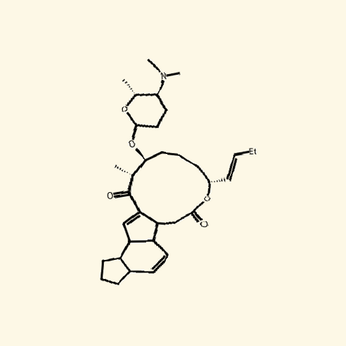 CC/C=C/[C@H]1CCC[C@H](OC2CC[C@H](N(C)C)[C@@H](C)O2)[C@@H](C)C(=O)C2=CC3C(C=CC4CCCC43)C2CC(=O)O1